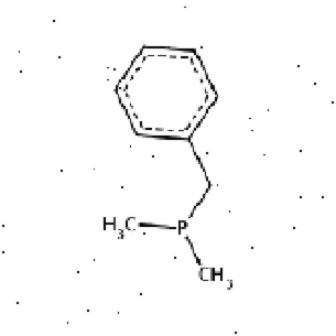 CP(C)[CH]c1ccccc1